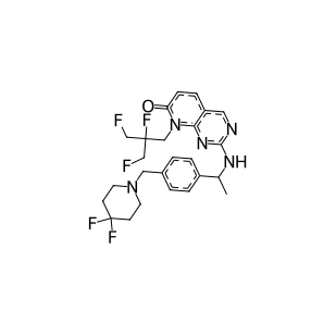 CC(Nc1ncc2ccc(=O)n(CC(F)(CF)CF)c2n1)c1ccc(CN2CCC(F)(F)CC2)cc1